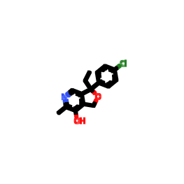 CCC1(c2ccc(Cl)cc2)OCc2c1cnc(C)c2O